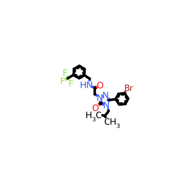 CC(C)Cn1c(-c2cccc(Br)c2)nn(CC(=O)NCc2cccc(C(F)(F)F)c2)c1=O